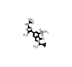 CC(=O)Nc1nc(C)c(-c2cc3c(c(S(C)(=O)=O)c2)C(=O)N(C(C)C2CC2)C3)s1